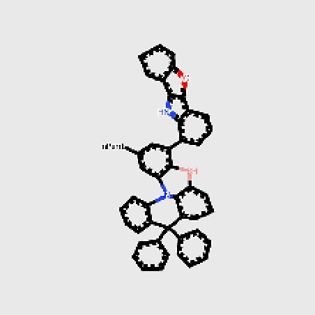 CCCCCc1cc(-c2cccc3c2[nH]c2c4ccccc4oc32)c2c(c1)N1c3ccccc3C(c3ccccc3)(c3ccccc3)c3cccc(c31)B2